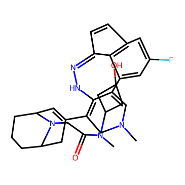 CN1C=C2C(=C(C3=CC4CCCC(C3)N4CC(=O)N(C)C3CC(O)C3)C1)NN=C1C=Cc3cc(F)cc2c31